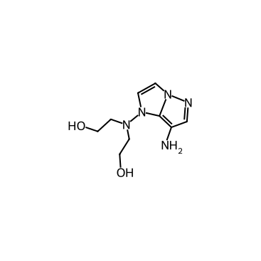 Nc1cnn2ccn(N(CCO)CCO)c12